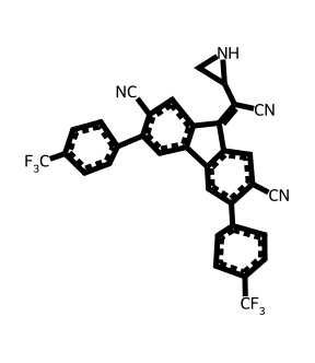 N#CC(=C1c2cc(C#N)c(-c3ccc(C(F)(F)F)cc3)cc2-c2cc(-c3ccc(C(F)(F)F)cc3)c(C#N)cc21)C1CN1